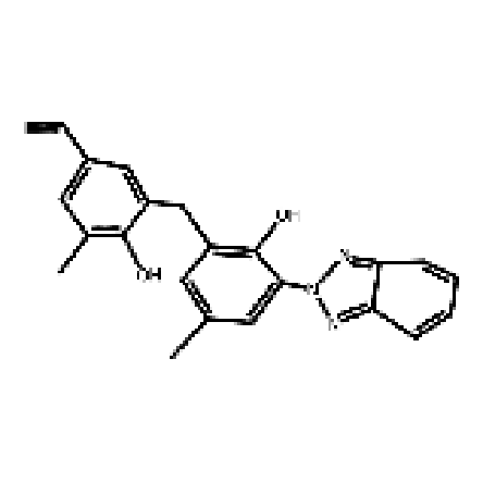 C=Cc1cc(C)c(O)c(Cc2cc(C)cc(-n3nc4ccccc4n3)c2O)c1